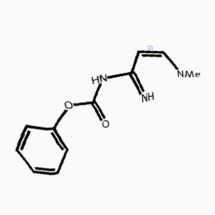 CN/C=C\C(=N)NC(=O)Oc1ccccc1